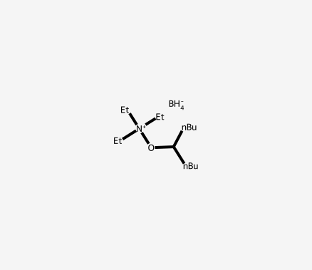 CCCCC(CCCC)O[N+](CC)(CC)CC.[BH4-]